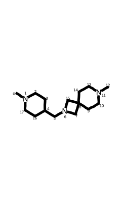 CN1CCC(CN2CC3(CCN(C)CC3)C2)CC1